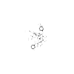 CCSCC(NC(=O)OC(C)(C)C)C(=O)N[C@@H](Cc1ccc(O)cc1)C(=O)NC(=O)[C@H](CC(C)C)NCCc1ccccc1